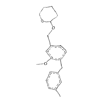 COc1cc(COC2CCCCO2)ccc1Cc1cccc(C)c1